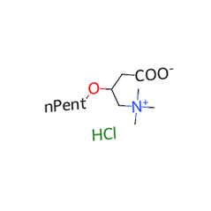 CCCCCOC(CC(=O)[O-])C[N+](C)(C)C.Cl